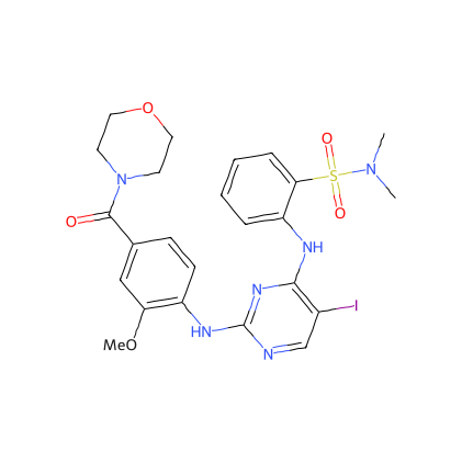 COc1cc(C(=O)N2CCOCC2)ccc1Nc1ncc(I)c(Nc2ccccc2S(=O)(=O)N(C)C)n1